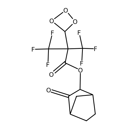 O=C1C2CCC(C2)C1OC(=O)C(C1OOO1)(C(F)(F)F)C(F)(F)F